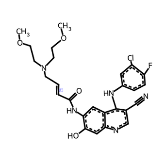 COCCN(C/C=C/C(=O)Nc1cc2c(Nc3ccc(F)c(Cl)c3)c(C#N)cnc2cc1O)CCOC